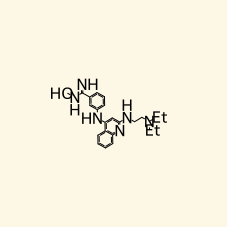 CCN(CC)CCNc1cc(Nc2cccc(C(=N)NO)c2)c2ccccc2n1